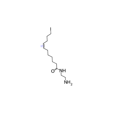 NCCNC(=O)CCCCC/C=C\CCCI